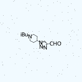 CCC(C)N1CCC(n2cc(C=O)nn2)CC1